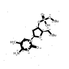 Cc1cn([C@H]2C[C@@H](OP(=O)(O)OC(C)(C)C)[C@@H](CC(C)(C)C)O2)c(=O)nc1N